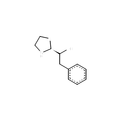 OC(Cc1ccccc1)[C@H]1NCCS1